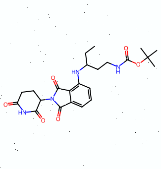 CCC(CCNC(=O)OC(C)(C)C)Nc1cccc2c1C(=O)N(C1CCC(=O)NC1=O)C2=O